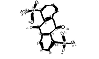 NS(=O)(=O)c1cccc2c1C(=O)c1cccc(S(N)(=O)=O)c1C2=O